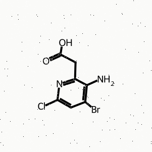 Nc1c(Br)cc(Cl)nc1CC(=O)O